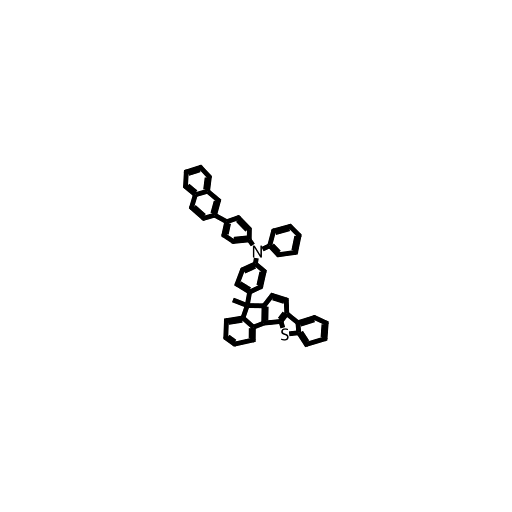 CC1(c2ccc(N(c3ccccc3)c3ccc(-c4ccc5ccccc5c4)cc3)cc2)c2ccccc2-c2c1ccc1c2sc2ccccc21